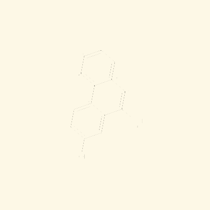 Oc1ccc2c(c1)c(O)cc1ccccc12